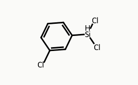 Clc1cccc([SiH](Cl)Cl)c1